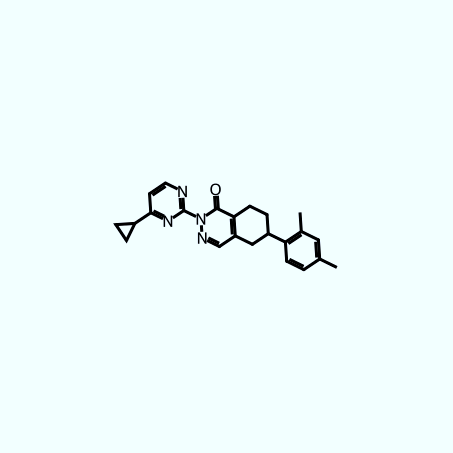 Cc1ccc(C2CCc3c(cnn(-c4nccc(C5CC5)n4)c3=O)C2)c(C)c1